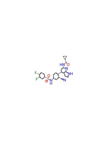 N#Cc1cc(NS(=O)(=O)c2ccc(F)c(F)c2)ccc1-c1cc(NC(=O)C2CC2)nc2[nH]ccc12